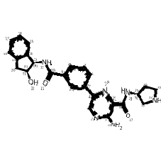 Nc1ncc(-c2cccc(C(=O)N[C@@H]3c4ccccc4C[C@@H]3O)c2)nc1C(=O)N[C@H]1CCNC1